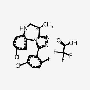 C[C@@H]1CNc2ccc(Cl)cc2-n2c(-c3cc(Cl)ccc3F)nnc21.O=C(O)C(F)(F)F